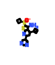 Nc1c([S+]([O-])C2CCC2)sc2nc(-c3cncnc3)cc(C34CC(C3)C4)c12